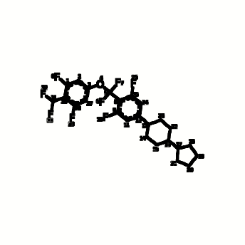 Fc1cc(OC(F)(F)c2c(F)cc(C3CCC(C4CCCC4)CC3)cc2F)cc(F)c1C(F)F